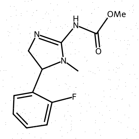 COC(=O)NC1=NCC(c2ccccc2F)N1C